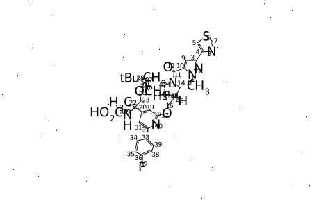 Cn1nc(-c2cscn2)cc1C(=O)N1C[C@@H]2C(Oc3cc(C(C)(CO[Si](C)(C)C(C)(C)C)NC(=O)O)cc(-c4ccc(F)cc4)n3)[C@@H]2C1